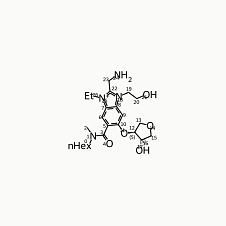 CCCCCCN(C)C(=O)c1cc2c(cc1O[C@H]1COC[C@@H]1O)n(CCO)c(CN)[n+]2CC